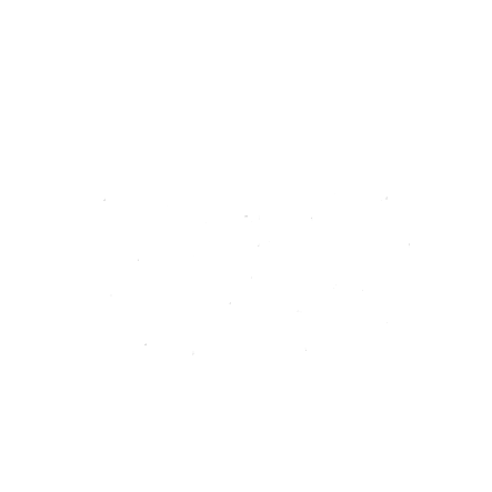 CCC1=C(C)c2c(C)cccc2[C]1[SiH2][C]1C(CC)=C(C)c2c(C)cccc21